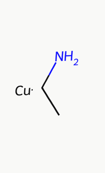 CCN.[Cu]